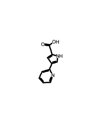 O=C(O)c1cc(-c2ccccn2)c[nH]1